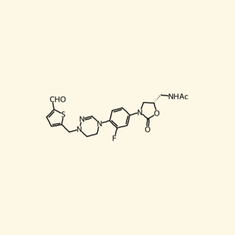 CC(=O)NC[C@H]1CN(c2ccc(N3C=NN(Cc4ccc(C=O)s4)CC3)c(F)c2)C(=O)O1